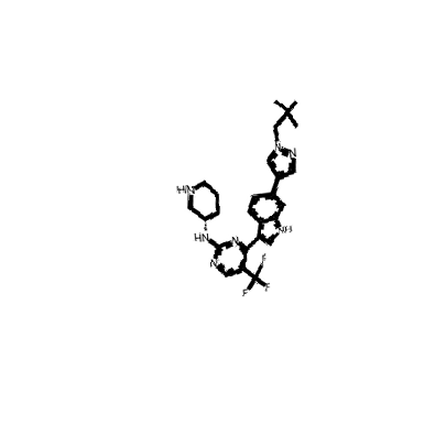 CC(C)(C)Cn1cc(-c2ccc3c(-c4nc(N[C@H]5CCCNC5)ncc4C(F)(F)F)c[nH]c3c2)cn1